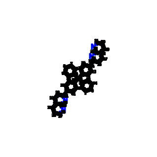 c1ccc(C(c2ccccc2)(c2ccc(-c3ccc4cccnc4n3)cc2)c2ccc(-c3ccc4cccnc4n3)cc2)cc1